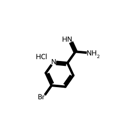 Cl.N=C(N)c1ccc(Br)cn1